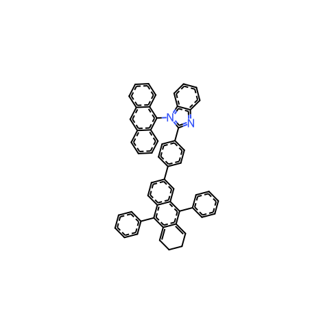 C1=c2c(-c3ccccc3)c3ccc(-c4ccc(-c5nc6ccccc6n5-c5c6ccccc6cc6ccccc56)cc4)cc3c(-c3ccccc3)c2=CCC1